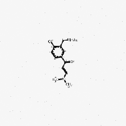 CC(=O)NCc1cc(C(=O)C=CN(C)C)ccc1Cl